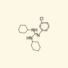 Clc1cccc(N=C(NC2CCCCC2)NC2CCCCC2)c1